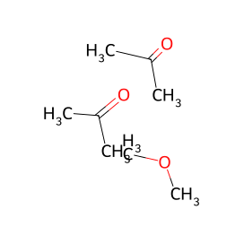 CC(C)=O.CC(C)=O.COC